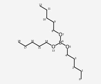 CCCCCOB(OCCCCC)OCCCCC